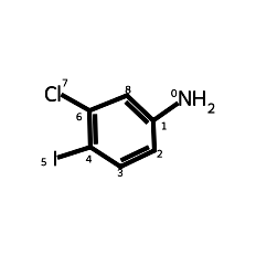 Nc1ccc(I)c(Cl)c1